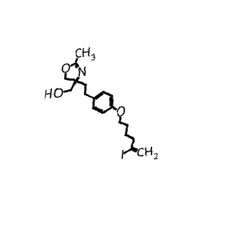 C=C(I)CCCCOc1ccc(CCC2(CO)COC(C)=N2)cc1